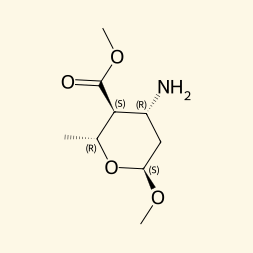 COC(=O)[C@H]1[C@H](N)C[C@@H](OC)O[C@@H]1C